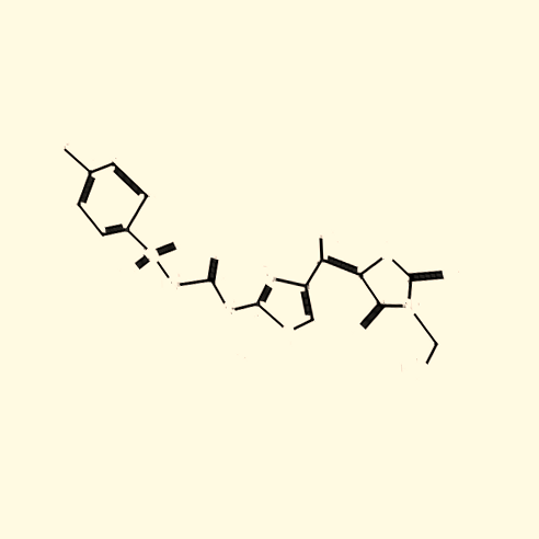 CCOC(=O)/C(=C1\SC(=S)N(CC(=O)O)C1=O)c1csc(NC(=O)NS(=O)(=O)c2ccc(C)cc2)n1.O